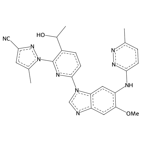 COc1cc2ncn(-c3ccc(C(C)O)c(-n4nc(C#N)cc4C)n3)c2cc1Nc1ccc(C)nn1